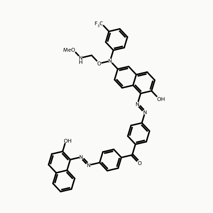 CONCON(c1cccc(C(F)(F)F)c1)c1ccc2c(N=Nc3ccc(C(=O)c4ccc(N=Nc5c(O)ccc6ccccc56)cc4)cc3)c(O)ccc2c1